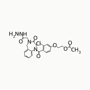 CC(=O)OCCOc1ccc(C(=O)N2CC(=O)N(CC(=O)NN)Cc3ccccc32)c(Cl)c1